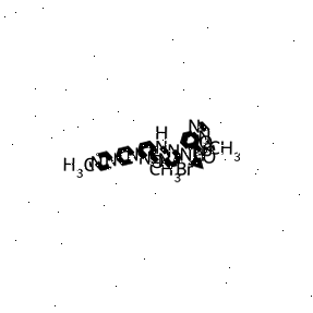 COc1nc(N2CCC(N3CCN(C)CC3)CC2)ccc1Nc1ncc(Br)c(Nc2ccc3nccnc3c2N(C2CC2)S(C)(=O)=O)n1